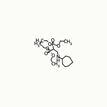 CCOP(=O)(OCC)C(CNC1CCCCCC1)P(=O)(OCC)OCC